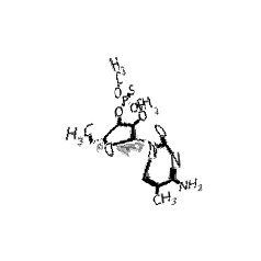 CC[C@H]1O[C@@H](n2cc(C)c(N)nc2=O)C(OC)C1OP(O)(=S)OC